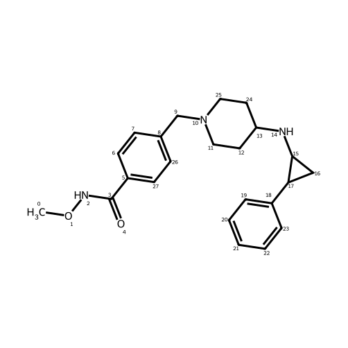 CONC(=O)c1ccc(CN2CCC(NC3CC3c3ccccc3)CC2)cc1